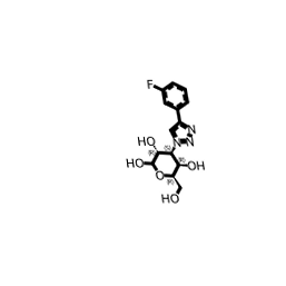 OC[C@H]1OC(O)[C@H](O)[C@@H](n2cc(-c3cccc(F)c3)nn2)[C@H]1O